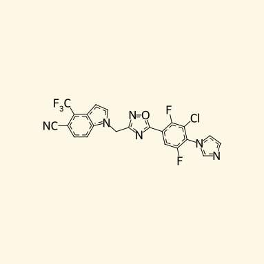 N#Cc1ccc2c(ccn2Cc2noc(-c3cc(F)c(-n4ccnc4)c(Cl)c3F)n2)c1C(F)(F)F